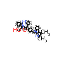 Cc1cc(C)c2c3ccccc3n(Cc3ccc([C@@H](C(=O)NC(CO)c4ccccc4)C4CCCC4)cc3)c2n1